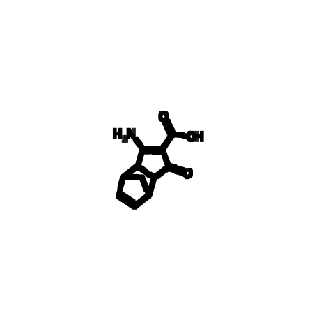 NC1=C(C(=O)O)C(=O)C2C3C=CC(C3)C12